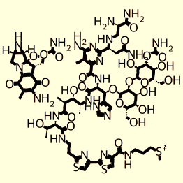 CO[C@@]12[C@H](COC(N)=O)C3=C(C(=O)C(C)=C(N)C3=O)N1C[C@@H]1N[C@@H]12.Cc1c(N)nc([C@H](CC(N)=O)NC[C@H](N)C(N)=O)nc1C(=O)N[C@H](C(=O)N[C@H](C)[C@@H](O)[C@H](C)C(=O)N[C@H](C(=O)NCCc1nc(-c2nc(C(=O)NCCC[S+](C)C)cs2)cs1)[C@@H](C)O)[C@@H](O[C@@H]1O[C@@H](CO)[C@H](O)[C@@H](O)[C@@H]1O[C@@H]1O[C@@H](CO)[C@H](O)[C@@H](OC(N)=O)[C@@H]1O)c1cnc[nH]1